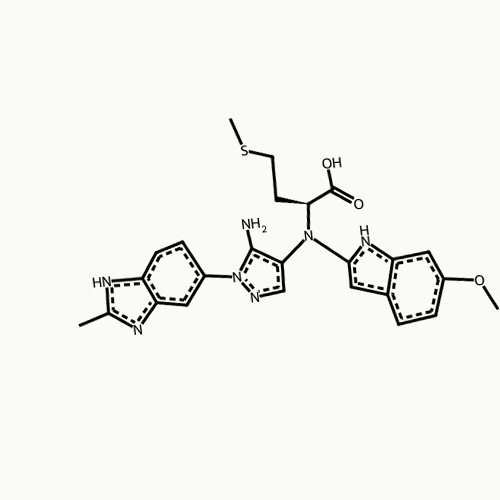 COc1ccc2cc(N(c3cnn(-c4ccc5[nH]c(C)nc5c4)c3N)[C@@H](CCSC)C(=O)O)[nH]c2c1